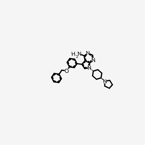 Nc1ncnc2c1c(-c1cccc(OCc3ccccc3)c1)cn2[C@H]1CC[C@H](N2CCCC2)CC1